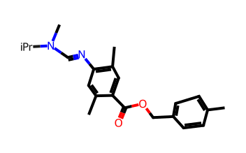 Cc1ccc(COC(=O)c2cc(C)c(/N=C/N(C)C(C)C)cc2C)cc1